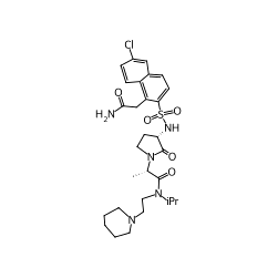 CC(C)N(CCN1CCCCC1)C(=O)[C@H](C)N1CC[C@H](NS(=O)(=O)c2ccc3cc(Cl)ccc3c2CC(N)=O)C1=O